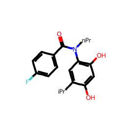 CCCN(C(=O)c1ccc(F)cc1)c1cc(C(C)C)c(O)cc1O